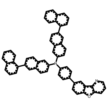 c1ccc2c(-c3ccc4cc(N(c5ccc(-c6ccc7oc8cccnc8c7c6)cc5)c5ccc6cc(-c7cccc8ccccc78)ccc6c5)ccc4c3)cccc2c1